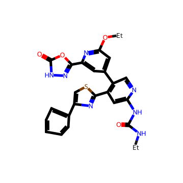 CCNC(=O)Nc1cc(-c2nc(-c3ccccc3)cs2)c(-c2cc(OCC)nc(-c3n[nH]c(=O)o3)c2)cn1